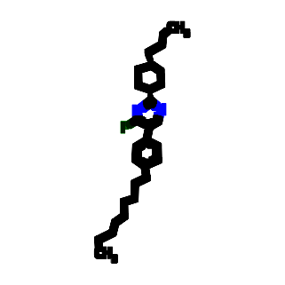 CCCCCCCCCc1ccc(-c2cnc([C@H]3CC[C@H](CCCC)CC3)nc2F)cc1